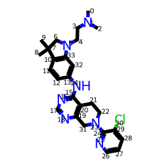 CN(C)CCN1CC(C)(C)c2ccc(Nc3ncnc4c3CCN(c3ncccc3Cl)C4)cc21